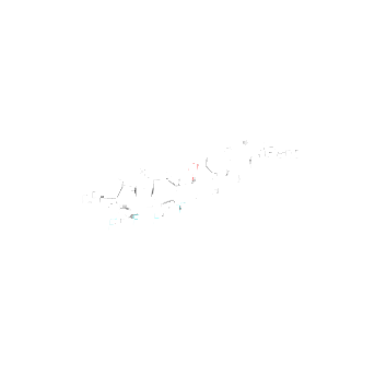 CCCCCC1CCC(C2=COC(c3cc4c(c(F)c3F)-c3c(cc(CCC)c(F)c3F)C4)CC2)CC1